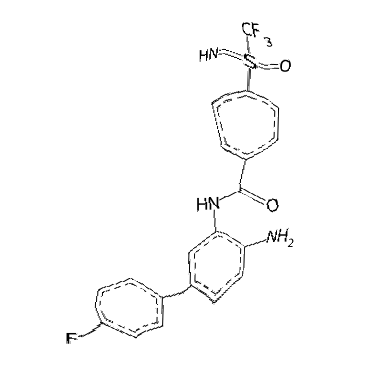 N=S(=O)(c1ccc(C(=O)Nc2cc(-c3ccc(F)cc3)ccc2N)cc1)C(F)(F)F